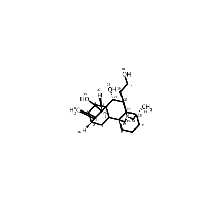 C=C1[C@H]2CCC3(C(C2)[C@@]24CCC[C@@](C)(CN(CCO)C2)C4C[C@H]3O)[C@H]1O